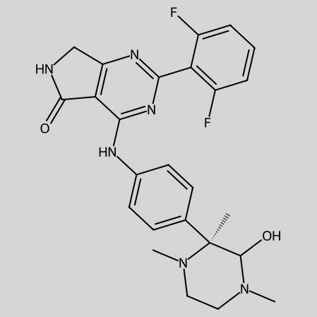 CN1CCN(C)[C@@](C)(c2ccc(Nc3nc(-c4c(F)cccc4F)nc4c3C(=O)NC4)cc2)C1O